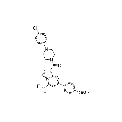 COc1ccc(-c2cc(C(F)F)n3ncc(C(=O)N4CCN(c5ccc(Cl)cc5)CC4)c3n2)cc1